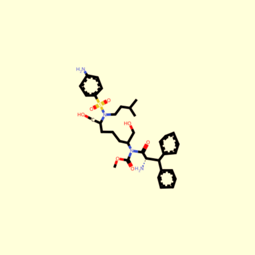 COC(=O)N(C(=O)[C@@H](N)C(c1ccccc1)c1ccccc1)C(CO)CCCC(CO)N(CCC(C)C)S(=O)(=O)c1ccc(N)cc1